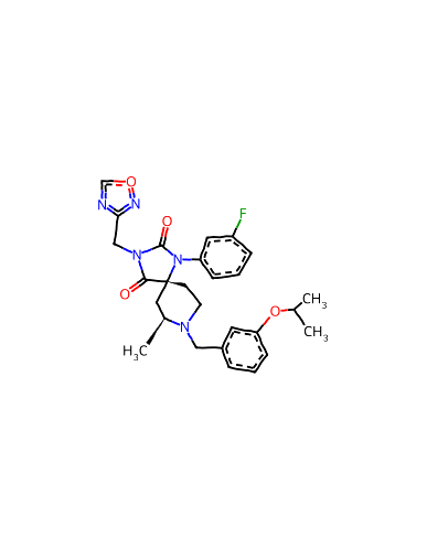 CC(C)Oc1cccc(CN2CC[C@@]3(C[C@@H]2C)C(=O)N(Cc2ncon2)C(=O)N3c2cccc(F)c2)c1